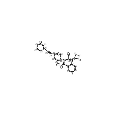 O=c1c2ccccc2n(C2CCC2)c(=O)n1-c1ccc(C#Cc2ccccc2)cc1Cl